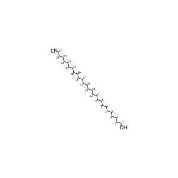 OCCCCCCCCCCCCCCCCCCCCCCCCCCCCl